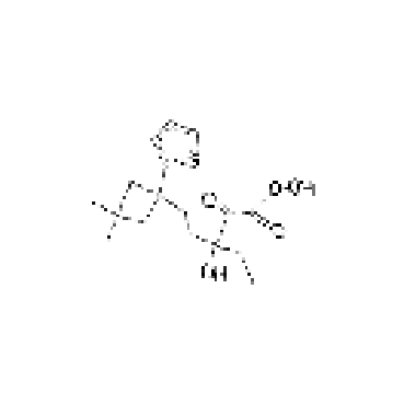 CCC(O)(CCC1(c2cccs2)CC(C)(C)C1)C(=O)C(=O)OO